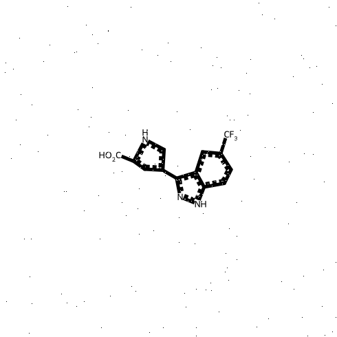 O=C(O)c1cc(-c2n[nH]c3ccc(C(F)(F)F)cc23)c[nH]1